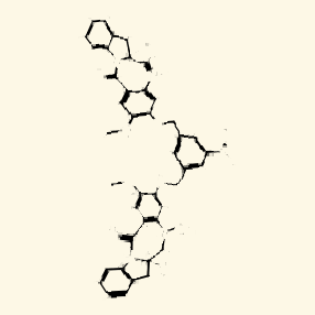 COc1cc2c(cc1OCc1cc(COc3cc4c(cc3OC)C(=O)N3c5ccc#cc5C[C@H]3CN4P)cc([N+](=O)[O-])c1)N=C[C@@H]1Cc3ccccc3N1C2=O